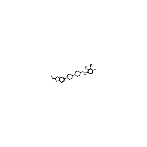 CCC1Cc2ccc(C3CCC(C4CCC(COc5ccc(C)c(F)c5F)CC4)CC3)cc2C1